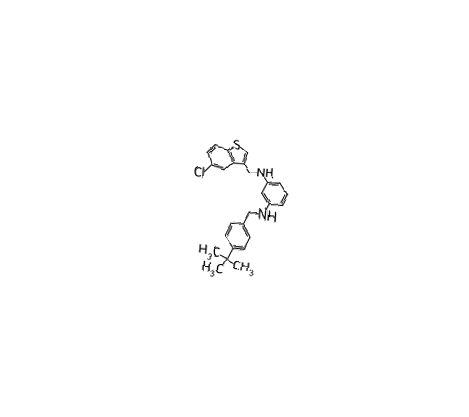 CC(C)(C)c1ccc(CNc2cccc(NCc3csc4ccc(Cl)cc34)c2)cc1